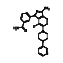 Cc1nn(-c2cccc(C(N)=O)c2)c2c(F)c(N3CCN(c4cccnc4)CC3)ccc12